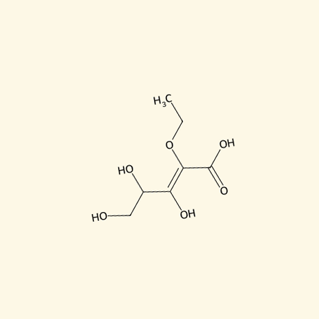 CCO/C(C(=O)O)=C(/O)C(O)CO